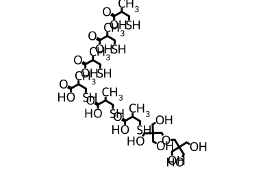 CC(CS)C(=O)O.CC(CS)C(=O)O.CC(CS)C(=O)O.CC(CS)C(=O)O.CC(CS)C(=O)O.CC(CS)C(=O)O.OCC(CO)(CO)COCC(CO)(CO)CO